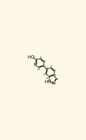 Oc1ccc(-c2ccc3cn[nH]c3c2)cn1